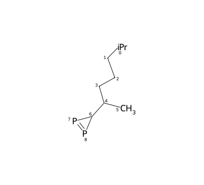 CC(C)CCCC(C)C1P=P1